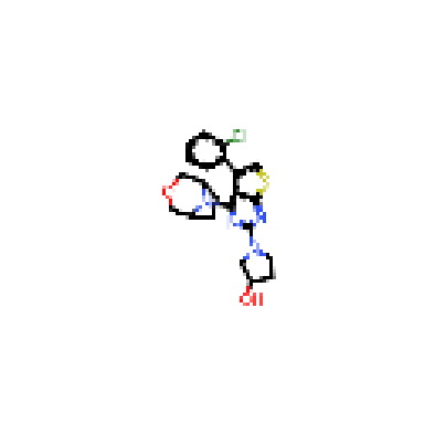 OC1CCN(c2nc(N3C4CCC3COC4)c3c(-c4ccccc4Cl)csc3n2)C1